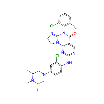 CC1CN(c2ccc(Nc3ncc4c(n3)N3CCN=C3N(c3c(Cl)cccc3Cl)C4=O)c(Cl)c2)C[C@H](C)N1C